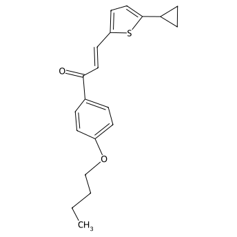 CCCCOc1ccc(C(=O)/C=C/c2ccc(C3CC3)s2)cc1